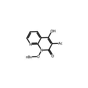 CCCCOn1c(=O)c(C(C)=O)c(O)c2cccnc21